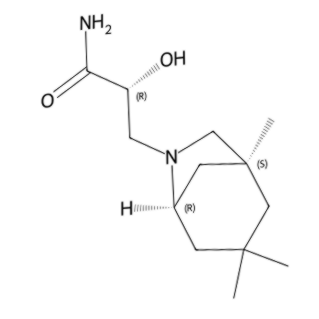 CC1(C)C[C@@H]2C[C@@](C)(CN2C[C@@H](O)C(N)=O)C1